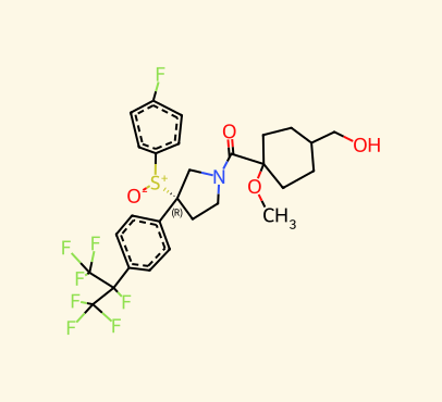 COC1(C(=O)N2CC[C@](c3ccc(C(F)(C(F)(F)F)C(F)(F)F)cc3)([S+]([O-])c3ccc(F)cc3)C2)CCC(CO)CC1